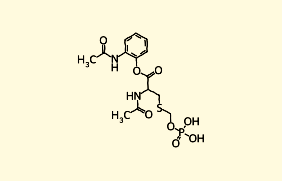 CC(=O)Nc1ccccc1OC(=O)C(CSCOP(=O)(O)O)NC(C)=O